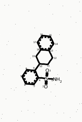 NS(=O)(=O)c1ccccc1C1CCc2ccccc2C1